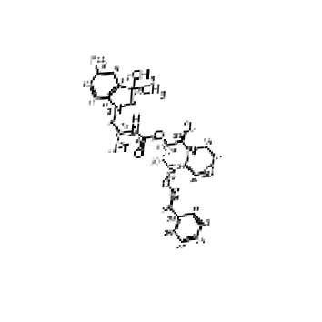 CC(C)[C@@H](CN1CC(C)(C)c2cc(F)ccc21)NC(=O)O[C@@H](CSOOCc1ccccc1)C(=O)N1CCOCC1